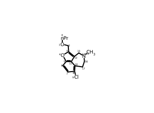 CCCOCc1oc2ccc(Cl)c3c2c1CN(C)CC3